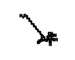 CCCCCCCCCCCCCCCCOC[C@H](CN=[N+]=[N-])O[C@@H]1OC(C)[C@H](O)[C@H](O)C1O